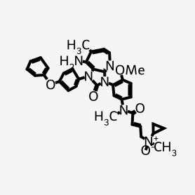 COc1ccc(N(C)C(=O)/C=C/C[N+](C)([O-])C2CC2)cc1-n1c2c(n(-c3ccc(Oc4ccccc4)cc3)c1=O)=C(N)C(C)=C=CN=2